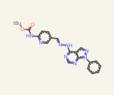 CC(C)(C)OC(=O)Nc1ccc(/C=N/Nc2ncnc3c2cnn3-c2ccccc2)cn1